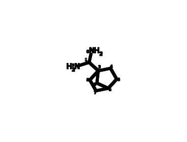 NC(N)C12CCC(CC1)C2